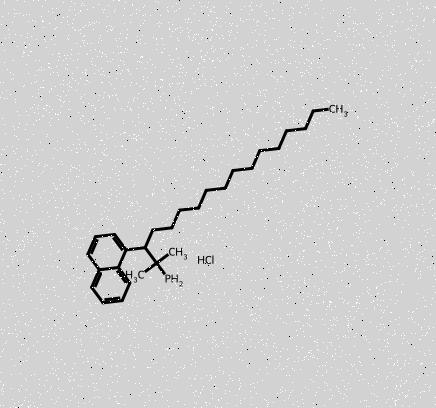 CCCCCCCCCCCCCCC(c1cccc2ccccc12)C(C)(C)P.Cl